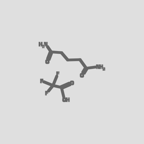 NC(=O)CCCC(N)=O.O=C(O)C(F)(F)F